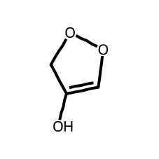 OC1=COOC1